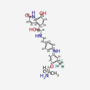 CC(C)(N)COc1ccc(Nc2ccc(CCNC[C@H](O)c3ccc(O)c4[nH]c(=O)ccc34)cc2)cc1C(F)(F)F